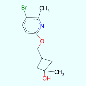 Cc1nc(OCC2CC(C)(O)C2)ccc1Br